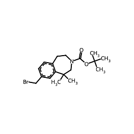 CC(C)(C)OC(=O)N1CCc2ccc(CBr)cc2C(C)(C)C1